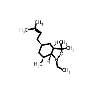 CCN1OC(C)(C)[C@@H]2C[C@H](CC=C(C)C)C[C@H](C)[C@H]21